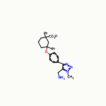 CC(C)C1(Oc2ccc(-c3nnn(C)c3CN)cc2)CCCC(C(=O)O)(C(C)C)C1